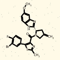 C=C1C[C@@H](c2nc3cc(OC)ccc3[nH]2)N(C(=O)c2nc(C)sc2-c2ccc(F)c(Br)c2)C1